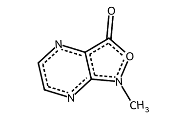 Cn1oc(=O)c2nccnc21